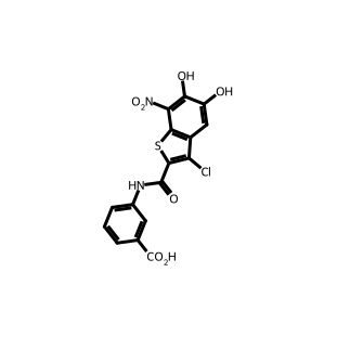 O=C(O)c1cccc(NC(=O)c2sc3c([N+](=O)[O-])c(O)c(O)cc3c2Cl)c1